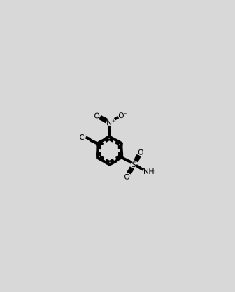 [NH]S(=O)(=O)c1ccc(Cl)c([N+](=O)[O-])c1